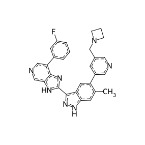 Cc1cc2[nH]nc(-c3nc4c(-c5cccc(F)c5)cncc4[nH]3)c2cc1-c1cncc(CN2CCC2)c1